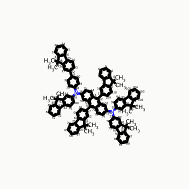 CC1(C)c2ccccc2-c2cc(-c3c4ccc(N(c5ccc(-c6ccc7c(c6)C(C)(C)c6ccccc6-7)cc5)c5ccc6c(c5)C(C)(C)c5ccccc5-6)cc4c(-c4ccc5c(c4)C(C)(C)c4ccccc4-5)c4ccc(N(c5ccc6c(c5)C(C)(C)c5ccccc5-6)c5ccc6c(c5)C(C)(C)c5ccccc5-6)cc34)ccc21